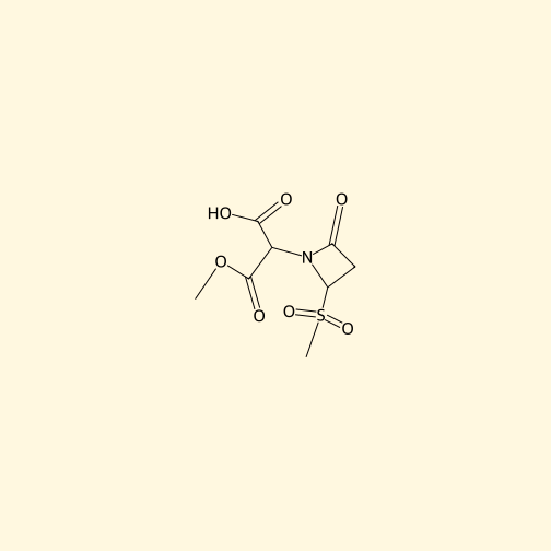 COC(=O)C(C(=O)O)N1C(=O)CC1S(C)(=O)=O